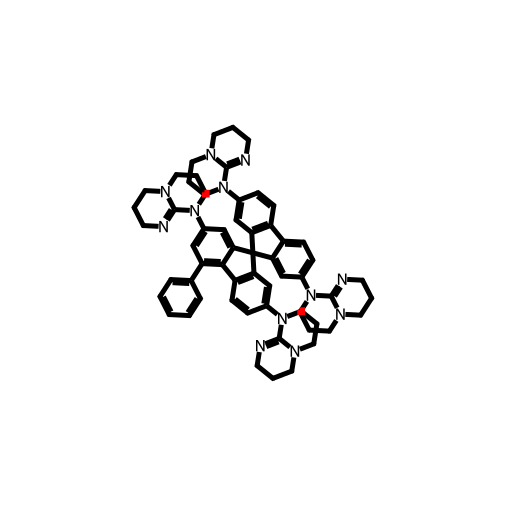 c1ccc(-c2cc(N3CCCN4CCCN=C43)cc3c2-c2ccc(N4CCCN5CCCN=C54)cc2C32c3cc(N4CCCN5CCCN=C54)ccc3-c3ccc(N4CCCN5CCCN=C54)cc32)cc1